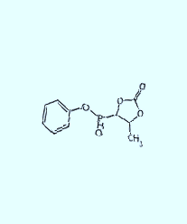 CC1OC(=O)OC1[PH](=O)Oc1ccccc1